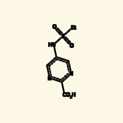 CCS(=O)(=O)Nc1cnc(C(=O)O)nc1